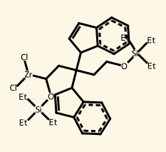 CC[Si](CC)(CC)OCCC(C[CH](O[Si](CC)(CC)CC)[Zr]([Cl])[Cl])(C1C=Cc2ccccc21)C1C=Cc2ccccc21